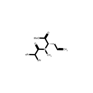 C=CC[C@@H](C(=O)OC)N(C)C(=O)C(CCC)CCC